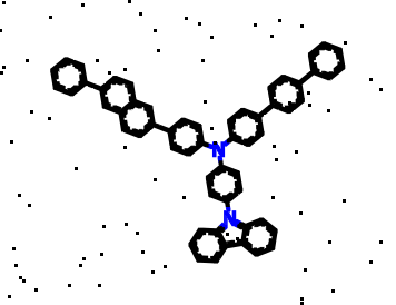 c1ccc(-c2ccc(-c3ccc(N(c4ccc(-c5ccc6cc(-c7ccccc7)ccc6c5)cc4)c4ccc(-n5c6ccccc6c6ccccc65)cc4)cc3)cc2)cc1